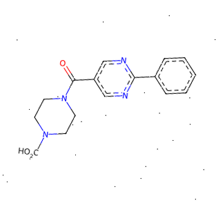 O=C(O)N1CCN(C(=O)c2cnc(-c3ccccc3)nc2)CC1